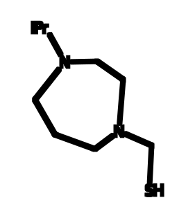 CC(C)N1CCCN(CS)CC1